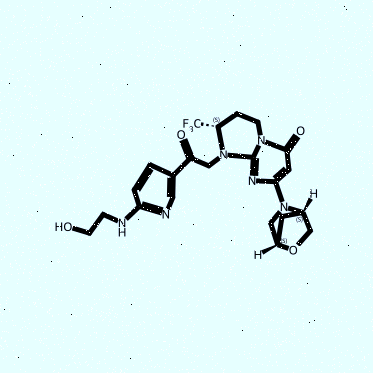 O=C(CN1c2nc(N3C[C@@H]4C[C@H]3CO4)cc(=O)n2CC[C@H]1C(F)(F)F)c1ccc(NCCO)nc1